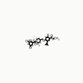 COC(=O)c1cc(C2CC2)c(OCC2CCN(C(C)(C)c3cc(Cl)cc(Cl)c3)CC2)cc1F